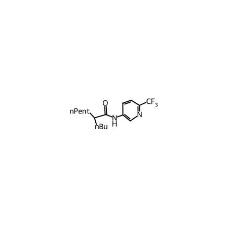 CCCCCC(CCCC)C(=O)Nc1ccc(C(F)(F)F)nc1